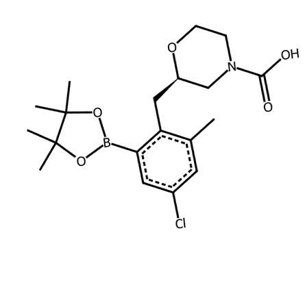 Cc1cc(Cl)cc(B2OC(C)(C)C(C)(C)O2)c1C[C@@H]1CN(C(=O)O)CCO1